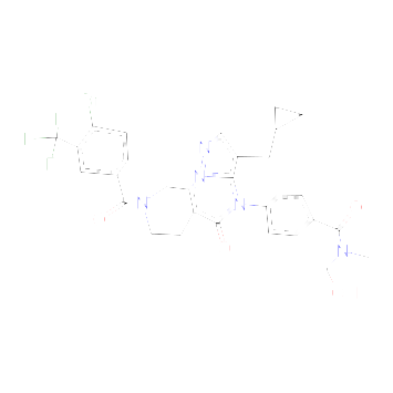 C[C@H]1Cc2c(n3ncc(CC4CC4)c3n(-c3ccc(C(=O)N(C)CO)cc3)c2=O)CN1C(=O)c1ccc(Br)c(C(F)(F)F)c1